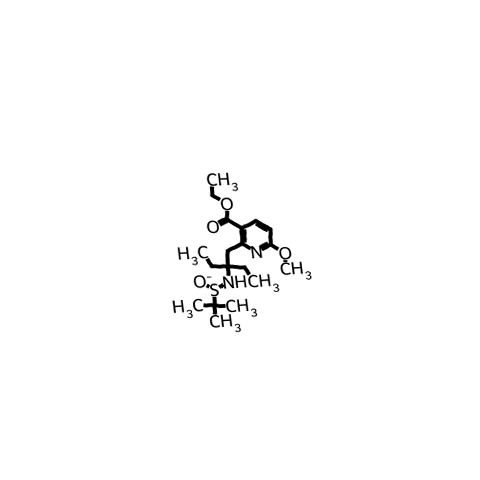 CCOC(=O)c1ccc(OC)nc1CC(CC)(CC)N[S+]([O-])C(C)(C)C